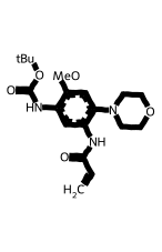 C=CC(=O)Nc1cc(NC(=O)OC(C)(C)C)c(OC)cc1N1CCOCC1